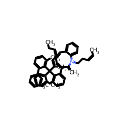 C=C1/C(c2cccc(C)c2C(/C(C)=C/C=C\CC)(c2ccccc2C)c2c(C)cccc2-c2ccccc2)=C\C=C/c2ccccc2N1CC/C=C\C